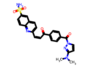 CN(C)c1ccn(C(=O)c2ccc(C(=O)/C=C\c3ccc4cc(S(N)(=O)=O)ccc4n3)cc2)n1